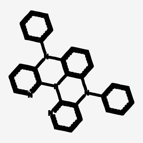 c1ccc(N2c3cccnc3B3c4ncccc4N(c4ccccc4)c4cccc2c43)cc1